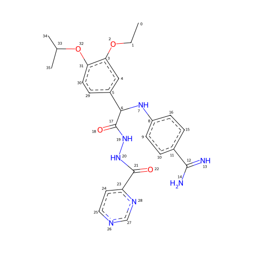 CCOc1cc(C(Nc2ccc(C(=N)N)cc2)C(=O)NNC(=O)c2ccncn2)ccc1OC(C)C